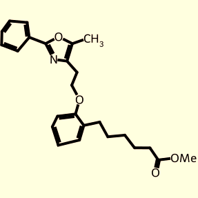 COC(=O)CCCCCc1ccccc1OCCc1nc(-c2ccccc2)oc1C